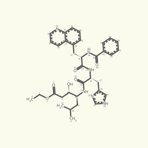 CCOC(=O)C[C@H](O)[C@H](CC(C)C)NC(=O)[C@@H](Cc1c[nH]cn1)NC(=O)[C@H](Cc1cccc2ncccc12)NC(=O)c1ccccc1